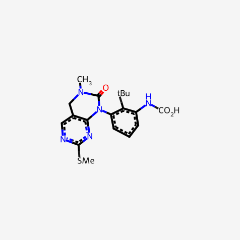 CSc1ncc2c(n1)N(c1cccc(NC(=O)O)c1C(C)(C)C)C(=O)N(C)C2